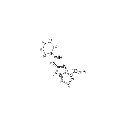 CCCOc1cccc2sc(SNC3CCCCC3)nc12